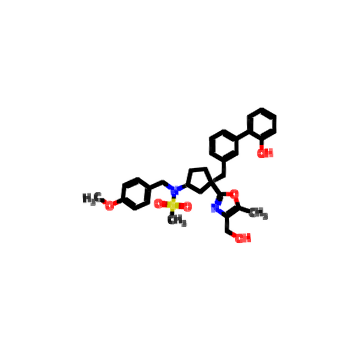 COc1ccc(CN([C@H]2CC[C@](Cc3cccc(-c4ccccc4O)c3)(c3nc(CO)c(C)o3)C2)S(C)(=O)=O)cc1